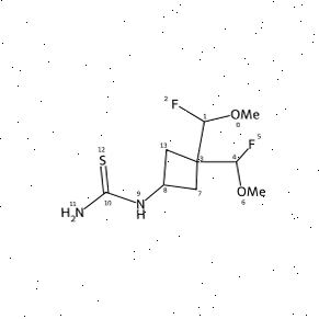 COC(F)C1(C(F)OC)CC(NC(N)=S)C1